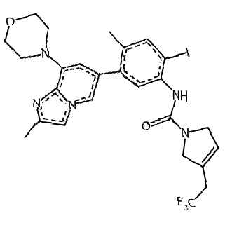 Cc1cn2cc(-c3cc(NC(=O)N4CC=C(CC(F)(F)F)C4)c(I)cc3C)cc(N3CCOCC3)c2n1